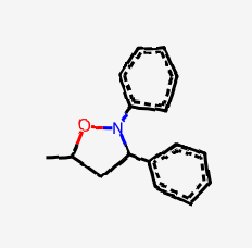 CC1CC(c2ccccc2)N(c2ccccc2)O1